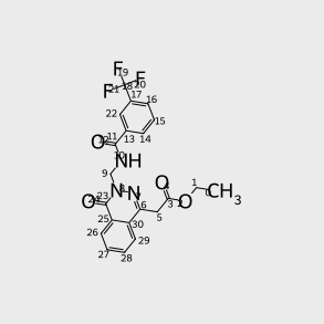 CCOC(=O)Cc1nn(CNC(=O)c2cccc(C(F)(F)F)c2)c(=O)c2ccccc12